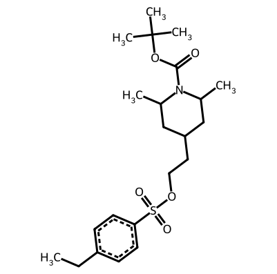 CCc1ccc(S(=O)(=O)OCCC2CC(C)N(C(=O)OC(C)(C)C)C(C)C2)cc1